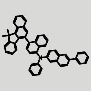 CC1(C)c2ccccc2-c2c(-c3ccc(N(c4ccccc4)c4ccc5cc(-c6ccccc6)ccc5c4)c4ccccc34)cc3ccccc3c21